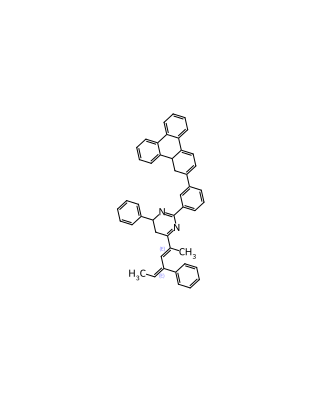 C/C=C(\C=C(/C)C1=NC(c2cccc(C3=CC=C4c5ccccc5-c5ccccc5C4C3)c2)=NC(c2ccccc2)C1)c1ccccc1